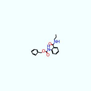 CCCNC(=O)c1ccccc1NC(=O)OCc1ccccc1